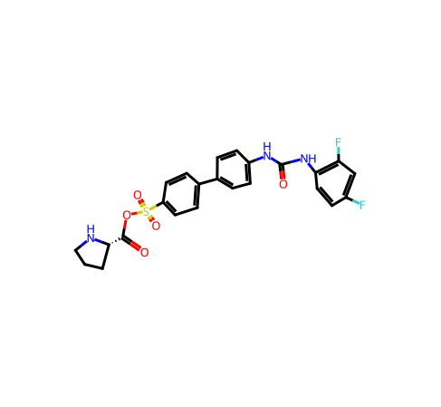 O=C(Nc1ccc(-c2ccc(S(=O)(=O)OC(=O)[C@@H]3CCCN3)cc2)cc1)Nc1ccc(F)cc1F